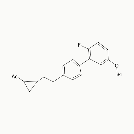 CC(=O)C1CC1CCc1ccc(-c2cc(OC(C)C)ccc2F)cc1